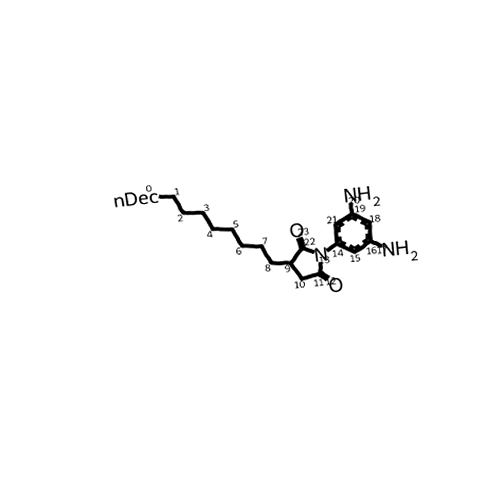 CCCCCCCCCCCCCCCCCCC1CC(=O)N(c2cc(N)cc(N)c2)C1=O